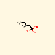 C=C[SiH2]CC(O)(O)O